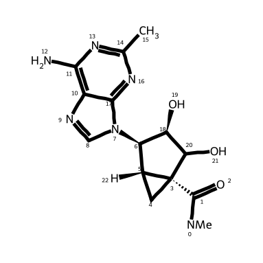 CNC(=O)[C@]12C[C@@H]1[C@@H](n1cnc3c(N)nc(C)nc31)[C@@H](O)C2O